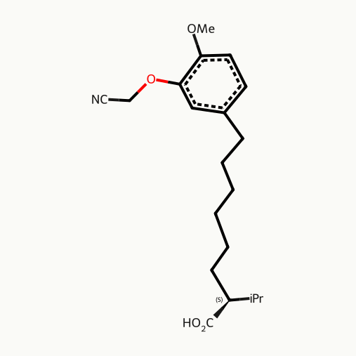 COc1ccc(CCCCCC[C@H](C(=O)O)C(C)C)cc1OCC#N